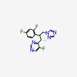 C[C@@H]([C](Cn1cncn1)c1ccc(F)cc1F)c1ncncc1F